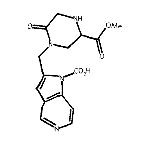 COC(=O)C1CN(Cc2cc3cnccc3n2C(=O)O)C(=O)CN1